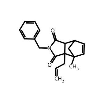 C=CCC12C(=O)N(Cc3ccccc3)C(=O)C1C1C=CC2(C)C1